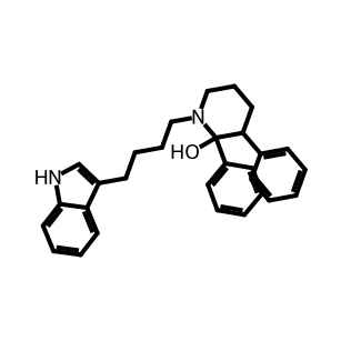 OC1(c2ccccc2)C(c2ccccc2)CCCN1CCCCc1c[nH]c2ccccc12